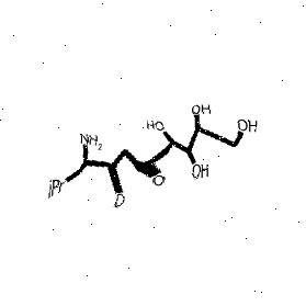 CC(C)C(N)C(=O)CC(=O)C(O)C(O)C(O)CO